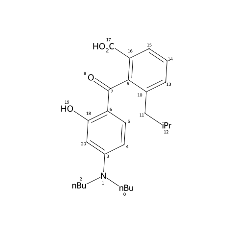 CCCCN(CCCC)c1ccc(C(=O)c2c(CC(C)C)cccc2C(=O)O)c(O)c1